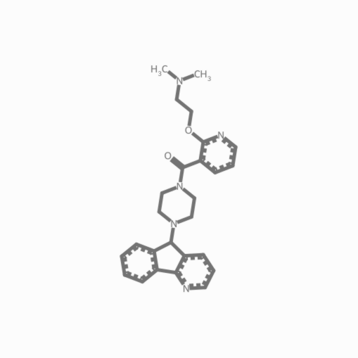 CN(C)CCOc1ncccc1C(=O)N1CCN(C2c3ccccc3-c3ncccc32)CC1